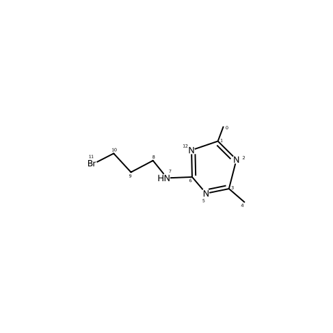 Cc1nc(C)nc(NCCCBr)n1